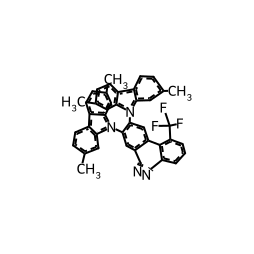 Cc1ccc2c3ccc(C)cc3n(-c3cc(C#N)c(-c4c(C#N)cccc4C(F)(F)F)cc3-n3c4cc(C)ccc4c4ccc(C)cc43)c2c1